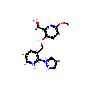 COc1ccc(OCc2cccnc2-n2cccn2)c(C=O)n1